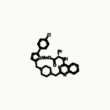 COC(=O)[C@@H](Nc1nc(CN2CCN(Cc3ccc(-c4ccc(Cl)cc4)o3)CC2)nc2ccccc12)C(C)C